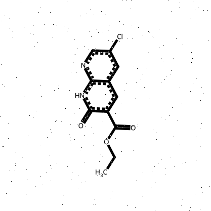 CCOC(=O)c1cc2cc(Cl)cnc2[nH]c1=O